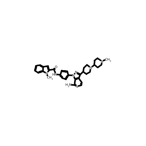 CN1CCC(N2CCC(c3nn(-c4ccc(NC(=O)c5cc6ccccc6n5C)cc4)c4c(N)nccc34)CC2)CC1